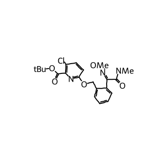 CNC(=O)C(=NOC)c1ccccc1COc1ccc(Cl)c(C(=O)OC(C)(C)C)n1